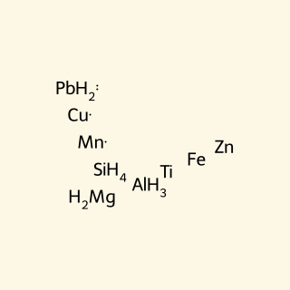 [AlH3].[Cu].[Fe].[MgH2].[Mn].[PbH2].[SiH4].[Ti].[Zn]